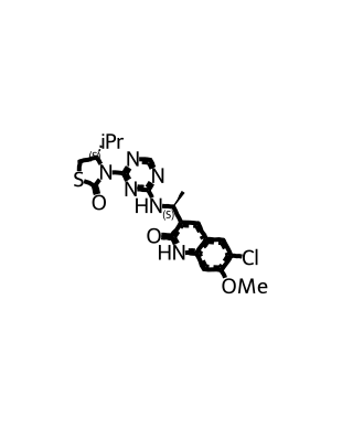 COc1cc2[nH]c(=O)c([C@H](C)Nc3ncnc(N4C(=O)SC[C@@H]4C(C)C)n3)cc2cc1Cl